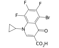 O=C(O)c1cn(C2CC2)c2c(F)c(F)c(F)c(Br)c2c1=O